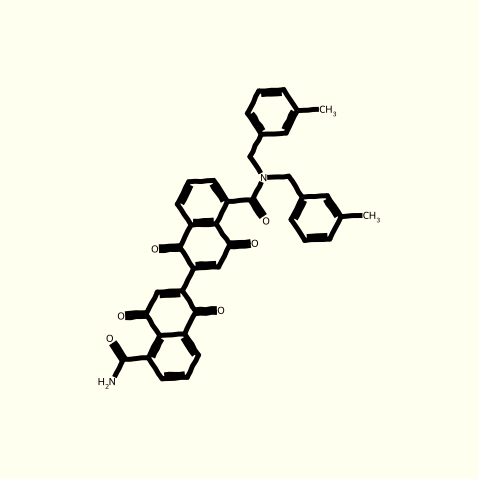 Cc1cccc(CN(Cc2cccc(C)c2)C(=O)c2cccc3c2C(=O)C=C(C2=CC(=O)c4c(C(N)=O)cccc4C2=O)C3=O)c1